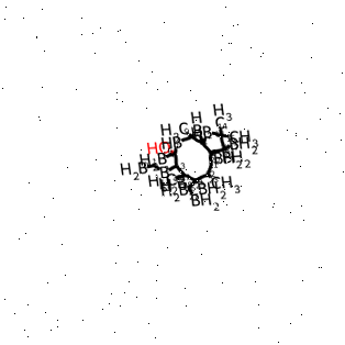 BCBC1C(B)(O)BC2(C)BC23BC(C)(C)C(B)(B)C3(B)CC(C)C(B)(C(B)B)C1(B)C